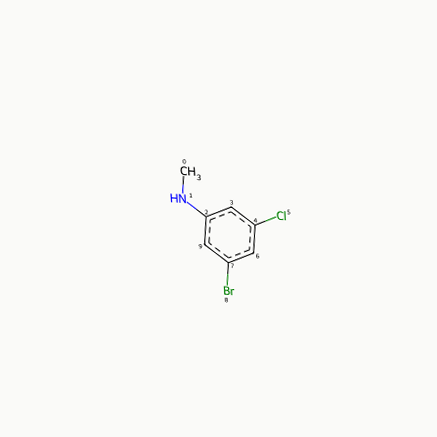 CNc1cc(Cl)cc(Br)c1